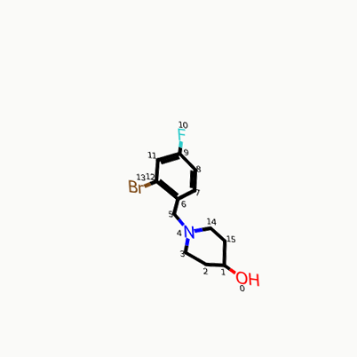 OC1CCN(Cc2ccc(F)cc2Br)CC1